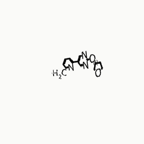 [CH2]c1cccc(-c2cnc(O[C@H]3CCOC3)nc2)n1